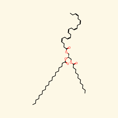 CC/C=C\C/C=C\C/C=C\C/C=C\C/C=C\C/C=C\CCC(=O)OC[C@@H](COC(=O)CCCCCCCCCCC)OC(=O)CCCCCCCCCCCCCCCCCCC